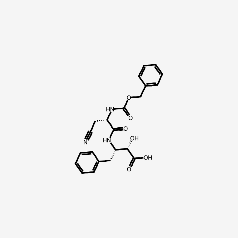 N#CC[C@H](NC(=O)OCc1ccccc1)C(=O)N[C@@H](Cc1ccccc1)[C@H](O)C(=O)O